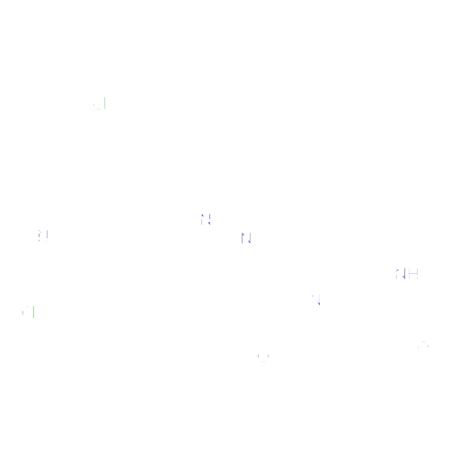 O=C1CN(C(=O)c2cc(-c3ccnc(Cl)c3)n(-c3cccc(Cl)c3)n2)CCN1